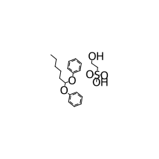 CCCCCC(Oc1ccccc1)Oc1ccccc1.O=S(=O)(O)CCO